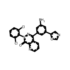 Bc1cc(-c2cnco2)cc(-c2nn(-c3c(Cl)cccc3Cl)c(=O)c3ncccc23)c1